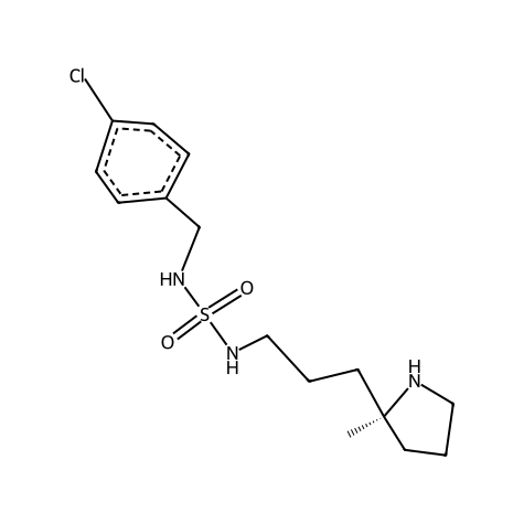 C[C@@]1(CCCNS(=O)(=O)NCc2ccc(Cl)cc2)CCCN1